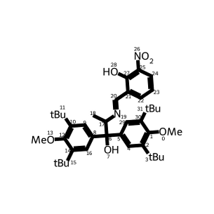 COc1c(C(C)(C)C)cc(C(O)(c2cc(C(C)(C)C)c(OC)c(C(C)(C)C)c2)C(C)N=Cc2cccc([N+](=O)[O-])c2O)cc1C(C)(C)C